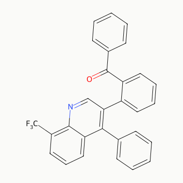 O=C(c1ccccc1)c1ccccc1-c1cnc2c(C(F)(F)F)cccc2c1-c1ccccc1